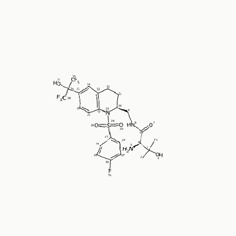 CC(C)(O)[C@@H](N)C(=O)NC[C@@H]1CCc2cc(C(O)(C(F)(F)F)C(F)(F)F)ccc2N1S(=O)(=O)c1ccc(F)cc1